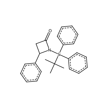 CC(C)(C)[Si](c1ccccc1)(c1ccccc1)N1C(=O)CC1c1ccccc1